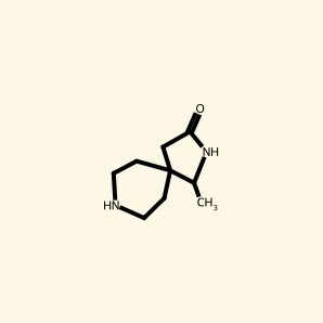 CC1NC(=O)CC12CCNCC2